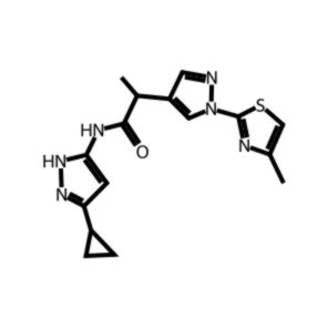 Cc1csc(-n2cc(C(C)C(=O)Nc3cc(C4CC4)n[nH]3)cn2)n1